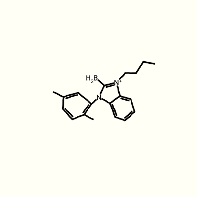 Bc1n(-c2cc(C)ccc2C)c2ccccc2[n+]1CCCC